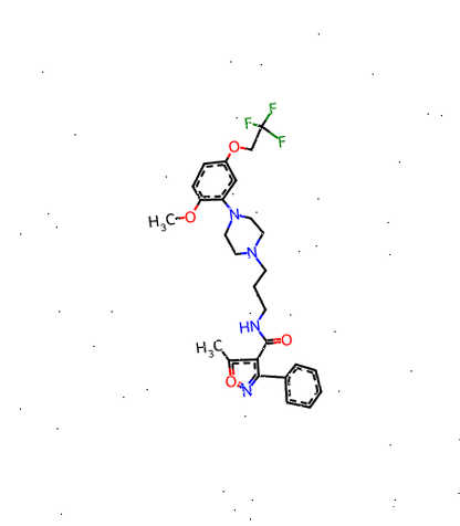 COc1ccc(OCC(F)(F)F)cc1N1CCN(CCCNC(=O)c2c(-c3ccccc3)noc2C)CC1